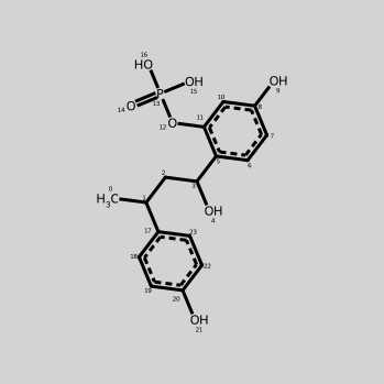 CC(CC(O)c1ccc(O)cc1OP(=O)(O)O)c1ccc(O)cc1